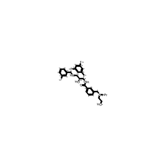 CCCN(CCO)Cc1cccc(C(=O)N[C@@H](Cc2cc(F)cc(F)c2)[C@@H](O)CNCc2cccc(I)c2)c1